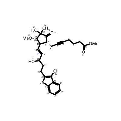 COC(=O)CCCC#CC[C@H]1C(=O)C(C)(C)[C@@H](OC)C1/C=C/C(O)CCc1sc2ccccc2c1Cl